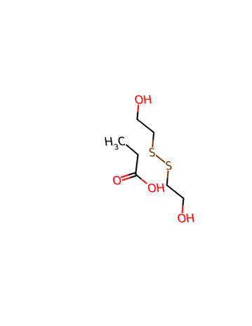 CCC(=O)O.OCCSSCCO